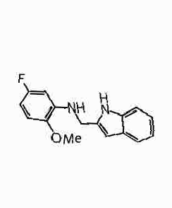 COc1ccc(F)cc1NCc1cc2ccccc2[nH]1